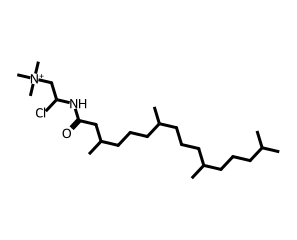 CC(C)CCCC(C)CCCC(C)CCCC(C)CC(=O)NC(Cl)C[N+](C)(C)C